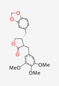 COc1cc(CC2C(=O)OC[C@@H]2Cc2ccc3c(c2)OCO3)cc(OC)c1OC